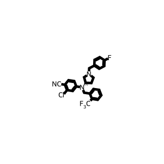 N#Cc1ccc(N(Cc2ccccc2C(F)(F)F)[C@H]2CCN(Cc3ccc(F)cc3)C2)cc1Cl